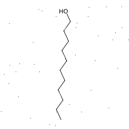 CCCCCCCCCC[CH]O